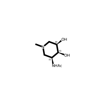 CC(=O)N[C@H]1CN(C)C[C@@H](O)[C@H]1O